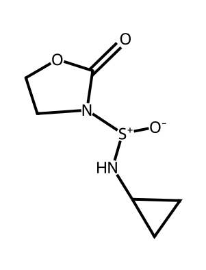 O=C1OCCN1[S+]([O-])NC1CC1